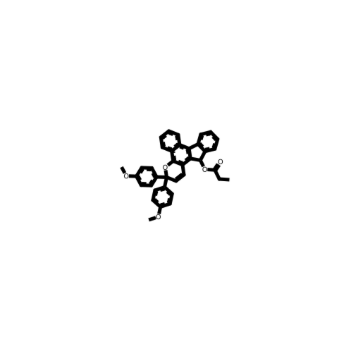 CCC(=O)OC1c2ccccc2-c2c1c1c(c3ccccc23)OC(c2ccc(OC)cc2)(c2ccc(OC)cc2)C=C1